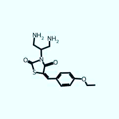 CCOc1ccc(C=C2SC(=O)N(C(CN)CN)C2=O)cc1